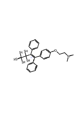 CN(C)CCOc1ccc(/C(=C(\c2ccccc2)C(S)(S)C(S)(S)S)c2ccccc2)cc1